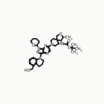 C[C@@H]1OCC2(CCN(c3cnc4c(N5CCCc6c(CO)cccc65)nn(C5CCCCO5)c4n3)CC2)[C@@H]1NC(=O)OC(C)(C)C